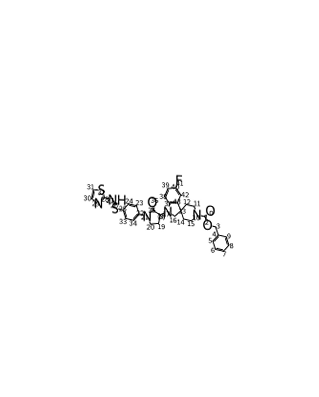 O=C(OCc1ccccc1)N1CCC2(CC1)CN([C@H]1CCN(c3ccc(SNc4nccs4)cc3)C1=O)c1ccc(F)cc12